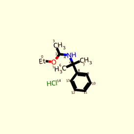 CCOC(C)NC(C)(C)c1ccccc1.Cl